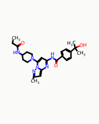 CCC(=O)NC1CCN(c2cc(NC(=O)c3ccc(C(C)(C)O)cc3)nc3cc(C)nn23)CC1